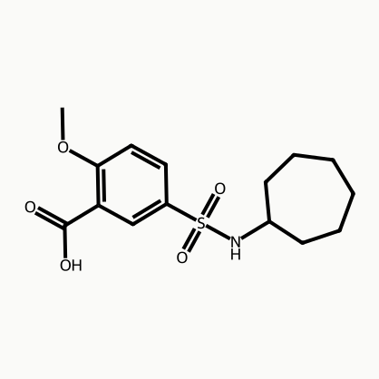 COc1ccc(S(=O)(=O)NC2CCCCCC2)cc1C(=O)O